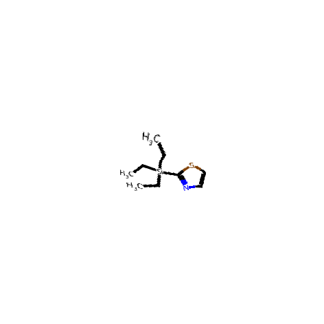 CC[Si](CC)(CC)c1nccs1